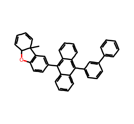 CC12C=CC=CC1Oc1ccc(-c3c4ccccc4c(-c4cccc(-c5ccccc5)c4)c4ccccc34)cc12